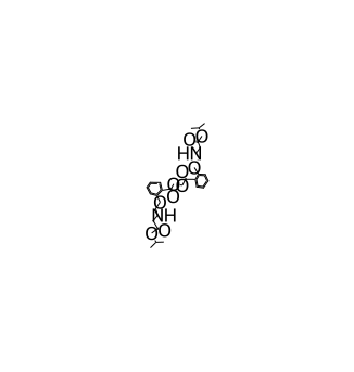 CC(C)OC(=O)CNCOc1ccccc1C(=O)OOC(=O)c1ccccc1OCNCC(=O)OC(C)C